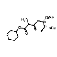 C=C(C[C@H](OC)[C@@H](C)CCCC)C(N)C(=O)OC1CCCOC1